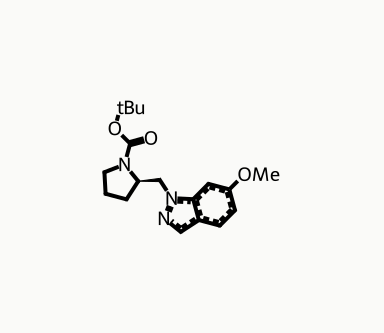 COc1ccc2cnn(C[C@H]3CCCN3C(=O)OC(C)(C)C)c2c1